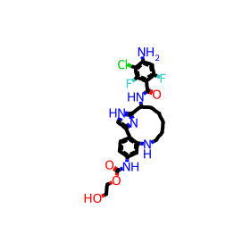 Nc1cc(F)c(C(=O)NC2CCCCCNc3cc(NC(=O)OCCO)ccc3-c3c[nH]c2n3)c(F)c1Cl